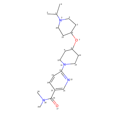 CC(C)N1CCC(OC2CCN(c3ccc(C(=O)N(C)C)cn3)CC2)CC1